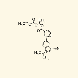 CCOC(=O)OC(C)OC(=O)c1ccnc(-c2ccc3c(c2)c(C#N)cn3C(C)C)c1